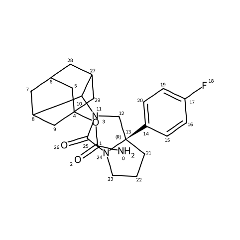 NC(=O)OC12CC3CC(C1)C(N1C[C@]4(c5ccc(F)cc5)CCCN4C1=O)C(C3)C2